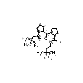 CC(C)(C)CCNC(=O)[C@@H]1CCCN1C(=O)[C@@H]1CCCN1C(=O)CC(C)(C)C